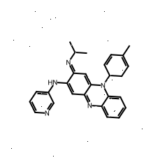 CC1=CCC(n2c3c/c(=N\C(C)C)c(Nc4cccnc4)cc-3nc3ccccc32)C=C1